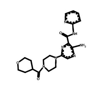 Nc1ncc(N2CCN(C(=O)C3CCOCC3)CC2)nc1C(=O)Nc1ccccn1